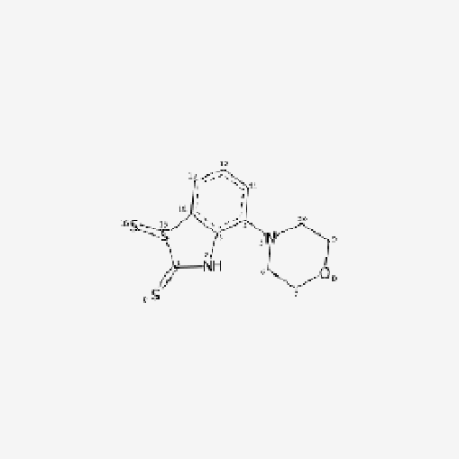 S=C1Nc2c(N3CCOCC3)cccc2S1=S